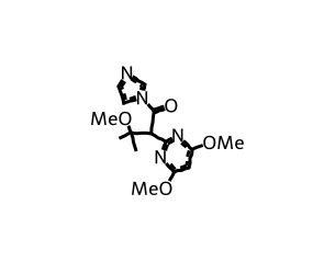 COc1cc(OC)nc(C(C(=O)n2ccnc2)C(C)(C)OC)n1